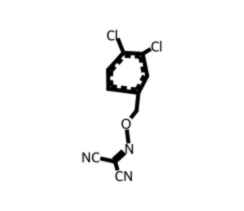 N#CC(C#N)=NOCc1ccc(Cl)c(Cl)c1